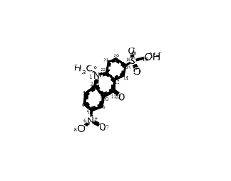 Cn1c2ccc([N+](=O)[O-])cc2c(=O)c2cc(S(=O)(=O)O)ccc21